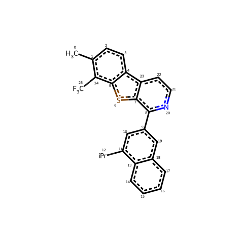 Cc1ccc2c(sc3c(-c4cc(C(C)C)c5ccccc5c4)nccc32)c1C(F)(F)F